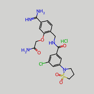 Cl.N=C(N)c1ccc(CNC(=O)c2cc(Cl)cc(N3CCCS3(=O)=O)c2)c(OCC(N)=O)c1